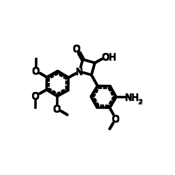 COc1ccc(C2C(O)C(=O)N2c2cc(OC)c(OC)c(OC)c2)cc1N